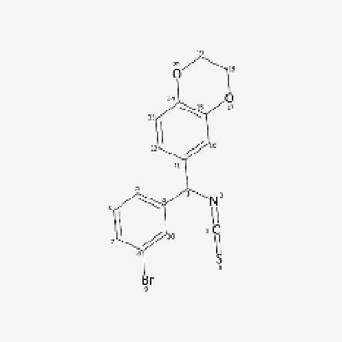 S=C=NC(c1cccc(Br)c1)c1ccc2c(c1)OCCO2